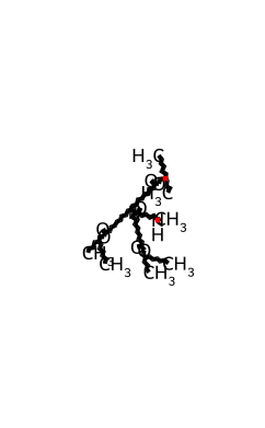 CCCCCCC(CCCC)COC(=O)CCCCCCCCC(CCCCCCCCC(=O)OCC(CCCC)CCCCCC)N(CCCCCCCCC(=O)OCC(CCCC)CCCCCC)C(=O)CCCCNC